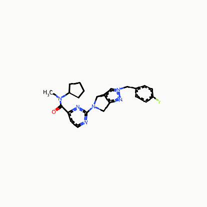 CN(C(=O)c1ccnc(N2Cc3cn(Cc4ccc(F)cc4)nc3C2)n1)C1CCCC1